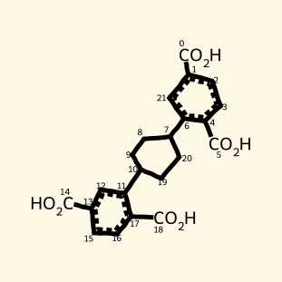 O=C(O)c1ccc(C(=O)O)c(C2CCC(c3cc(C(=O)O)ccc3C(=O)O)CC2)c1